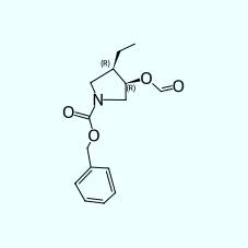 CC[C@@H]1CN(C(=O)OCc2ccccc2)C[C@@H]1OC=O